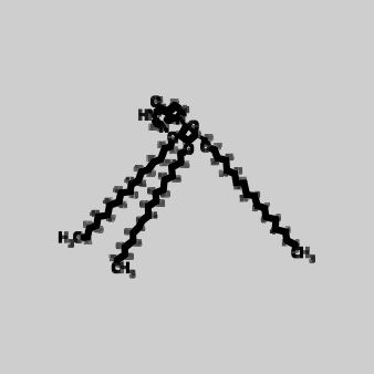 CCCCCCCCCCCCCCCCCCOC[C@H]1O[C@@H](n2ncc3c(=O)[nH]cnc32)[C@H](OCCCCCCCCCCCCCCCCCC)[C@@H]1OCCCCCCCCCCCCCCCCCC